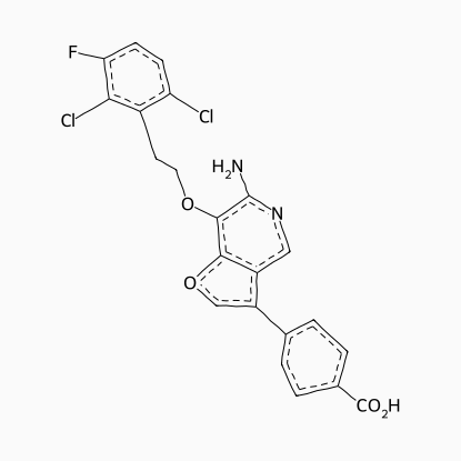 Nc1ncc2c(-c3ccc(C(=O)O)cc3)coc2c1OCCc1c(Cl)ccc(F)c1Cl